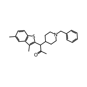 CC(=O)C(c1sc2ccc(C)cc2c1C)C1CCN(Cc2ccccc2)CC1